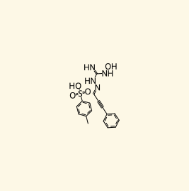 Cc1ccc(S(=O)(=O)O)cc1.N=C(NO)NN=CC#Cc1ccccc1